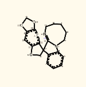 c1ccc2c(c1)N1CCCCC/N=C\1C21COc2cc3c(cc21)OCO3